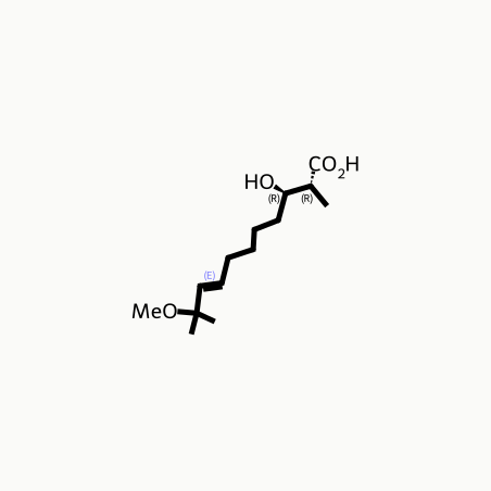 COC(C)(C)/C=C/CCCC[C@@H](O)[C@@H](C)C(=O)O